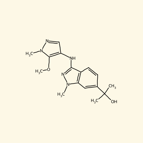 COc1c(Nc2nn(C)c3cc(C(C)(C)O)ccc23)cnn1C